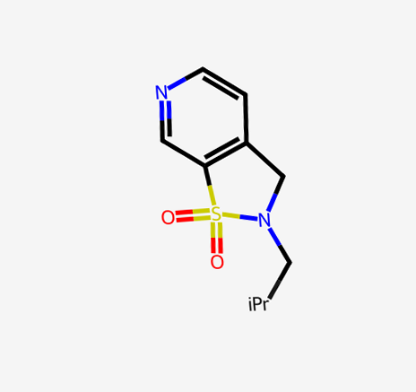 CC(C)CN1Cc2ccncc2S1(=O)=O